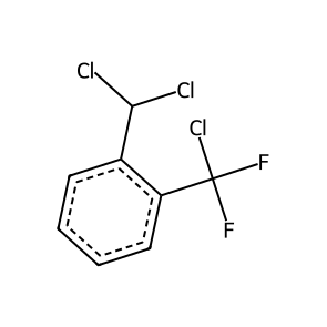 FC(F)(Cl)c1ccccc1C(Cl)Cl